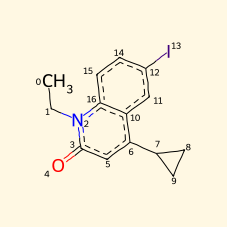 CCn1c(=O)cc(C2CC2)c2cc(I)ccc21